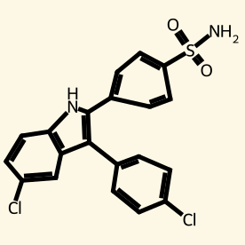 NS(=O)(=O)c1ccc(-c2[nH]c3ccc(Cl)cc3c2-c2ccc(Cl)cc2)cc1